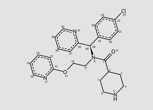 O=C(C1CCNCC1)N(CCOc1ccccn1)[C@H](c1ccc(Cl)cc1)c1ccccn1